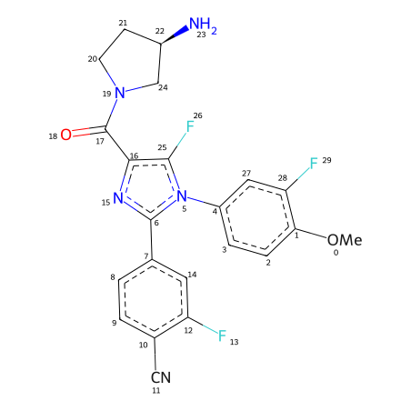 COc1ccc(-n2c(-c3ccc(C#N)c(F)c3)nc(C(=O)N3CC[C@@H](N)C3)c2F)cc1F